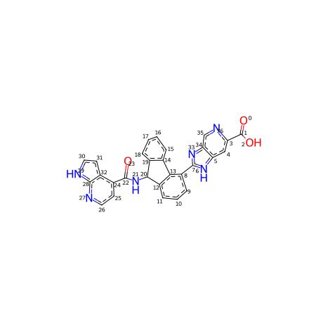 O=C(O)c1cc2[nH]c(-c3cccc4c3-c3ccccc3C4NC(=O)c3ccnc4[nH]ccc34)nc2cn1